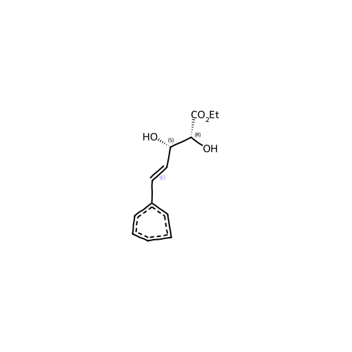 CCOC(=O)[C@H](O)[C@@H](O)/C=C/c1ccccc1